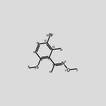 CON=C(C)c1c(SC)ccc(Br)c1C